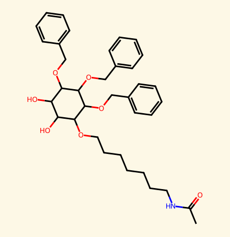 CC(=O)NCCCCCCCOC1C(O)C(O)C(OCc2ccccc2)C(OCc2ccccc2)C1OCc1ccccc1